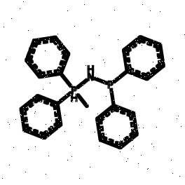 C[PH](NP(c1ccccc1)c1ccccc1)(c1ccccc1)c1ccccc1